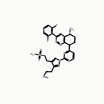 COCCc1nn(-c2nccc(C3CC[C@H](C)c4cc(-c5c(F)cccc5F)nnc43)n2)cc1CCS(C)(=O)=O